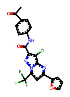 CC(=O)c1ccc(NC(=O)c2nn3c(C(F)(F)F)cc(-c4ccco4)nc3c2Cl)cc1